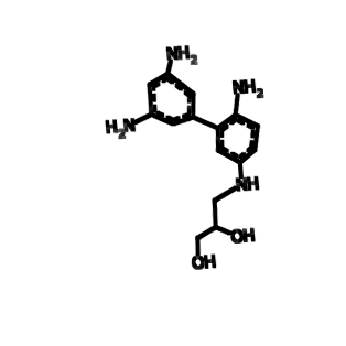 Nc1cc(N)cc(-c2cc(NCC(O)CO)ccc2N)c1